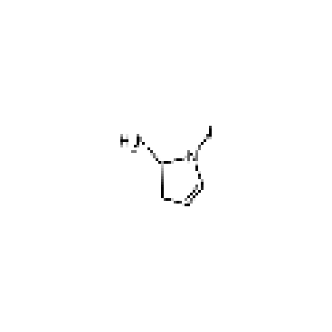 NC1CC=CN1I